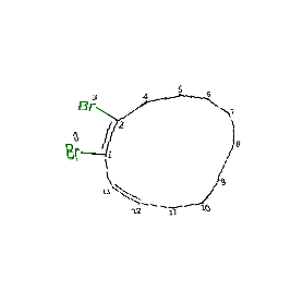 BrC1=C(Br)CCCCCCCCC=C1